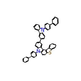 c1ccc(-c2ccc(-n3c4ccccc4c4cc(-c5ccc6c(c5)c5c7c(ccc5n6-c5ccc(-c6ccccc6)cc5)sc5ccccc57)ccc43)cc2)cc1